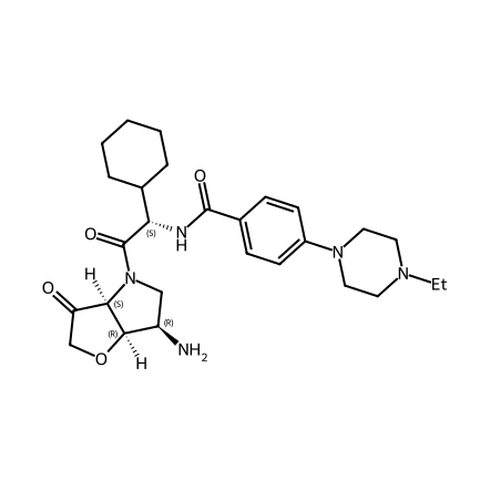 CCN1CCN(c2ccc(C(=O)N[C@H](C(=O)N3C[C@@H](N)[C@H]4OCC(=O)[C@H]43)C3CCCCC3)cc2)CC1